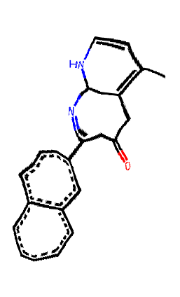 CC1=C2CC(=O)C(c3ccc4ccccc4c3)=NC2NC=C1